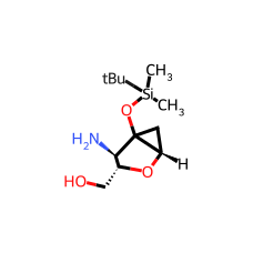 CC(C)(C)[Si](C)(C)OC12C[C@@H]1O[C@H](CO)[C@H]2N